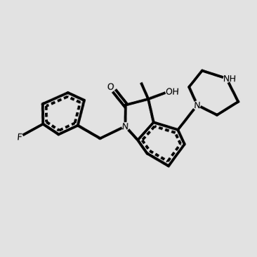 CC1(O)C(=O)N(Cc2cccc(F)c2)c2cccc(N3CCNCC3)c21